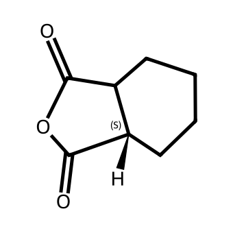 O=C1OC(=O)[C@H]2CCCCC12